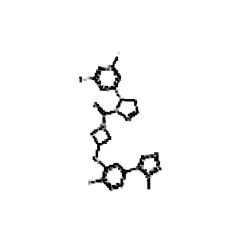 Cn1nncc1-c1cc(OC2CN(C(=O)N3N=CC[C@H]3c3cc(F)cc(F)c3)C2)c(F)cn1